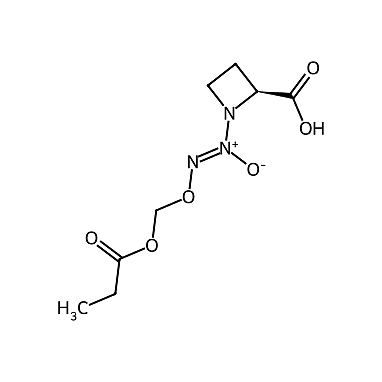 CCC(=O)OCO/N=[N+](\[O-])N1CC[C@H]1C(=O)O